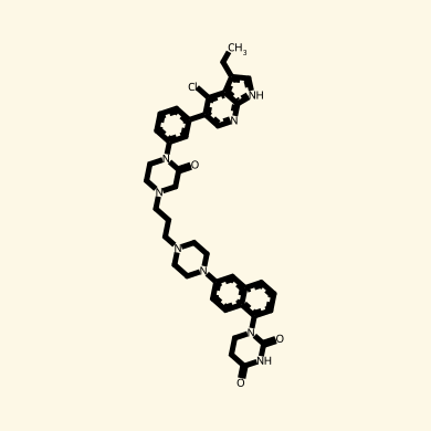 CCc1c[nH]c2ncc(-c3cccc(N4CCN(CCCN5CCN(c6ccc7c(N8CCC(=O)NC8=O)cccc7c6)CC5)CC4=O)c3)c(Cl)c12